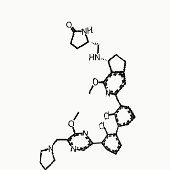 COc1nc(-c2cccc(-c3cccc(-c4cc5c(c(OC)n4)[C@H](NC[C@@H]4CCC(=O)N4)CC5)c3Cl)c2Cl)cnc1CN1CCCC1